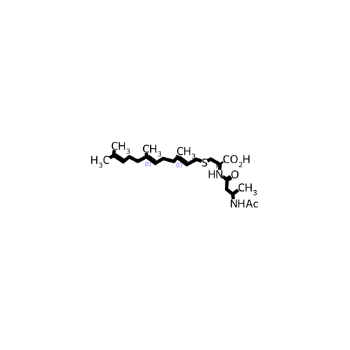 CC(=O)NC(C)CC(=O)N[C@@H](CSC/C=C(\C)CC/C=C(\C)CCC=C(C)C)C(=O)O